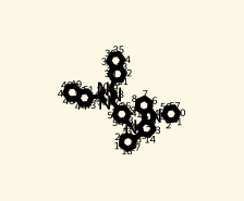 c1ccc(-n2c3ccccc3c3c2ccc2c4ccccc4n(-c4ccc(-c5nc(-c6ccc7ccccc7c6)nc(-c6ccc7ccccc7c6)n5)cc4)c23)cc1